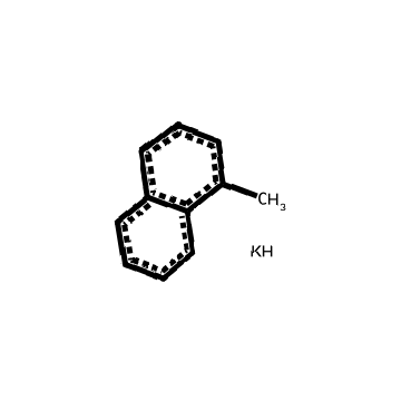 Cc1cccc2ccccc12.[KH]